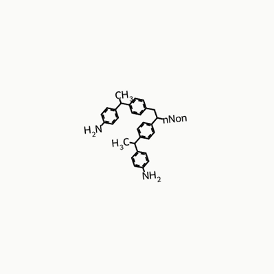 CCCCCCCCCC(Cc1ccc(C(C)c2ccc(N)cc2)cc1)c1ccc(C(C)c2ccc(N)cc2)cc1